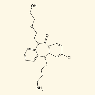 NCCCCN1c2cc(Cl)ccc2C(=O)N(CCOCCO)c2ccccc21